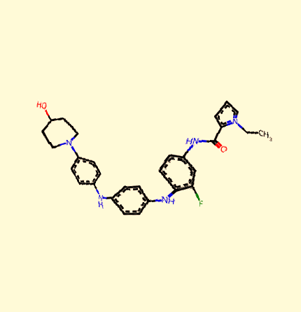 CCn1cccc1C(=O)Nc1ccc(Nc2ccc(Nc3ccc(N4CCC(O)CC4)cc3)cc2)c(F)c1